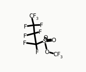 O=S(=O)(OC(F)(F)F)C(F)(F)C(F)(F)C(F)(F)C(F)(F)F